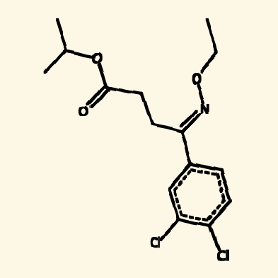 CCO/N=C(\CCC(=O)OC(C)C)c1ccc(Cl)c(Cl)c1